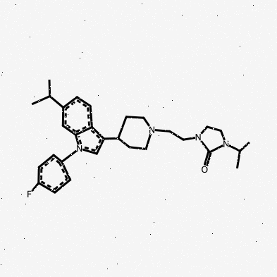 CC(C)c1ccc2c(C3CCN(CCN4CCN(C(C)C)C4=O)CC3)cn(-c3ccc(F)cc3)c2c1